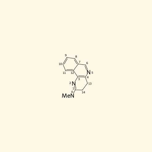 CNC1=Nc2c(ncc3ccccc23)CC1